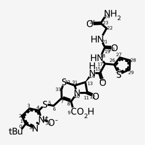 CC(C)(C)c1ccc(SCC2=C(C(=O)O)N3C(=O)[C@H](NC(=O)C(NC(=O)NCC(N)=O)c4cccs4)C3SC2)[n+]([O-])n1